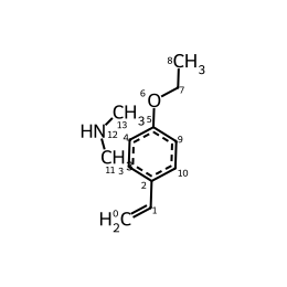 C=Cc1ccc(OCC)cc1.CNC